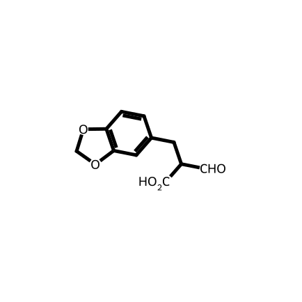 O=CC(Cc1ccc2c(c1)OCO2)C(=O)O